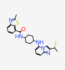 Cc1nc2cccc(C(=O)NC3CCC(Nc4cccc5nc(C(C)F)cn45)CC3)c2s1